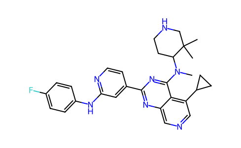 CN(c1nc(-c2ccnc(Nc3ccc(F)cc3)c2)nc2cncc(C3CC3)c12)C1CCNCC1(C)C